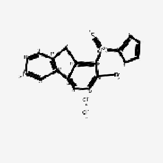 [Cl-].[Cl-].[S]=[Zr+2]([C]1=CC=CC1)[c]1c(Br)ccc2c1Cc1ccncc1-2